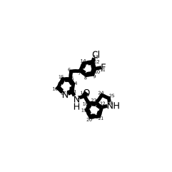 O=C(Nc1cc(Cc2ccc(F)c(Cl)c2)ccn1)c1cccc2c1CCN2